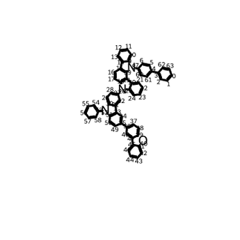 c1ccc(-c2ccc(-n3c4ccccc4c4ccc5c(c6ccccc6n5-c5ccc6c(c5)c5cc(-c7ccc8oc9ccccc9c8c7)ccc5n6-c5ccccc5)c43)cc2)cc1